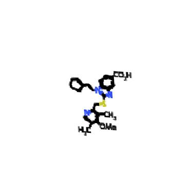 COc1c(C)cnc(CSc2nc3cc(C(=O)O)ccc3n2CCC2=CCCCC2)c1C